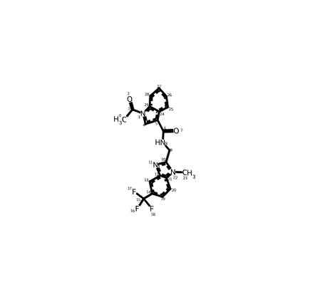 CC(=O)n1cc(C(=O)NCc2nc3cc(C(F)(F)F)ccc3n2C)c2ccccc21